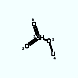 O=[SH](=O)[O][U]